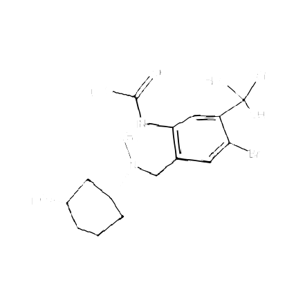 CC(=O)Nc1cc(C(C)(C)C)c(Br)cc1CN(C)[C@@H]1CCC[C@H](O)C1